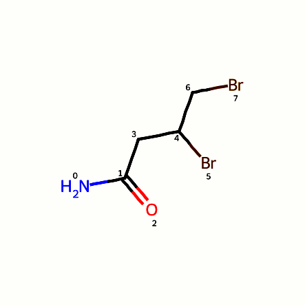 NC(=O)CC(Br)CBr